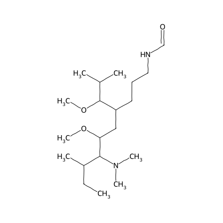 CCC(C)C(C(CC(CCCNC=O)C(OC)C(C)C)OC)N(C)C